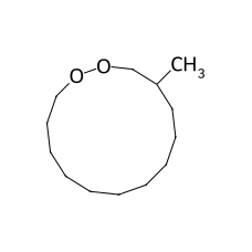 CC1CCCCCCCCCCOOC1